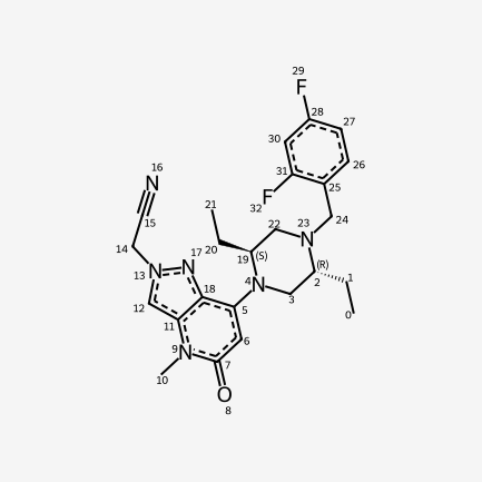 CC[C@@H]1CN(c2cc(=O)n(C)c3cn(CC#N)nc23)[C@@H](CC)CN1Cc1ccc(F)cc1F